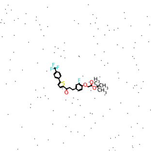 CC(C)(C)OC(=O)COc1ccc(CCC(=O)c2ccc(-c3ccc(C(F)(F)F)cc3)s2)cc1F